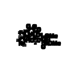 CO[C@H]1C(=O)N2C(C(=O)O)=C(COC(=O)C3C(=O)C(=O)c4cc(F)c(-c5ccncc5)c(F)c4N3C3CC3)[C@H](OC)[C@H]12